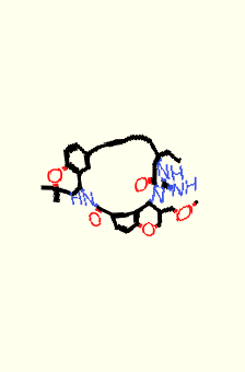 CCC12CCCCCc3ccc4c(c3)C(CC(C)(C)O4)NC(=O)c3ccc4c(c3)C(C(COC)CO4)N(C(=N)N1)C(=O)C2